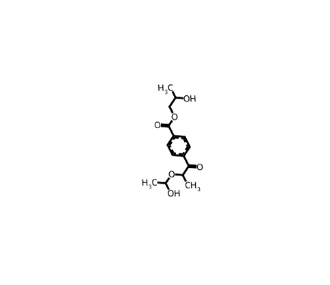 CC(O)COC(=O)c1ccc(C(=O)C(C)OC(C)O)cc1